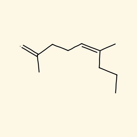 [CH]=C(C)CCC=C(C)CCC